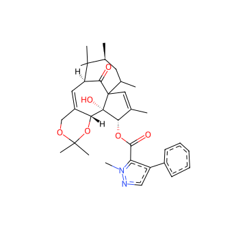 CC1=CC23C(=O)[C@@H](C=C4COC(C)(C)O[C@H]4[C@]2(O)[C@H]1OC(=O)c1c(-c2ccccc2)cnn1C)C(C)(C)[C@@H](C)CC3C